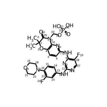 CC1(C)Oc2ccc(Nc3nc(Nc4ccc(N5CCOCC5)c(F)c4)ncc3F)nc2N(COP(=O)(O)O)C1=O